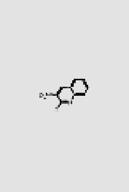 [O]c1nc2ccccc2cc1[N+](=O)[O-]